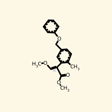 CO/C=C(/C(=O)OC)c1cc(COc2ccccc2)ccc1C